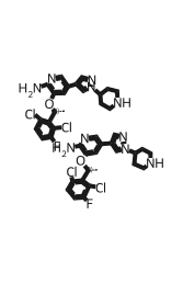 C[C@@H](Oc1cc(-c2cnn(C3CCNCC3)c2)cnc1N)c1c(Cl)ccc(F)c1Cl.C[C@@H](Oc1cc(-c2cnn(C3CCNCC3)c2)cnc1N)c1c(Cl)ccc(F)c1Cl